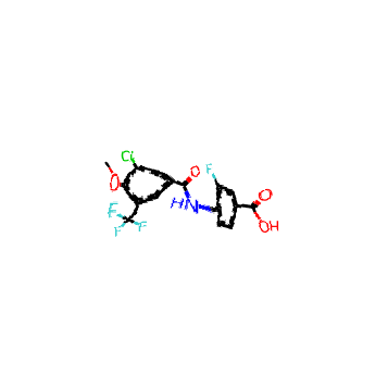 COc1c(Cl)cc(C(=O)Nc2ccc(C(=O)O)cc2F)cc1C(F)(F)F